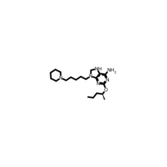 CCC[C@H](C)Oc1nc(N)c2c(n1)N(CCCCCN1CCCCC1)CN2